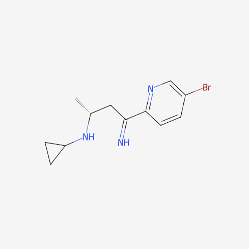 C[C@H](CC(=N)c1ccc(Br)cn1)NC1CC1